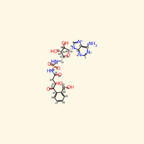 Nc1ncnc2c1ncn2[C@@H]1O[C@H](CNS(=O)(=O)NC(=O)CCC(=O)c2ccccc2B(O)O)[C@@H](O)[C@H]1O